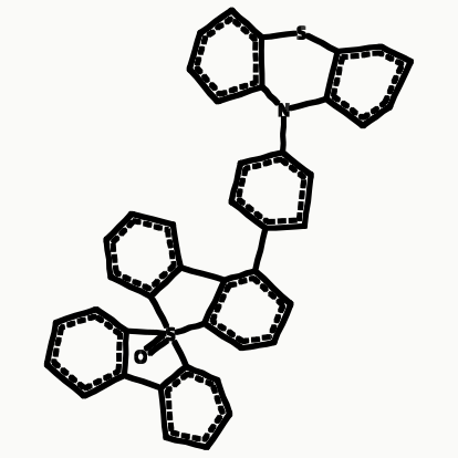 O=S12(c3ccccc3-c3ccccc31)c1ccccc1-c1c(-c3ccc(N4c5ccccc5Sc5ccccc54)cc3)cccc12